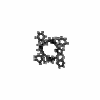 Cc1ccccc1-c1c2nc(c(-c3ccccc3C)c3ccc([nH]3)c(-c3ccccc3C)c3nc(c(-c4ccccc4C)c4ccc1[nH]4)C=C3)C=C2